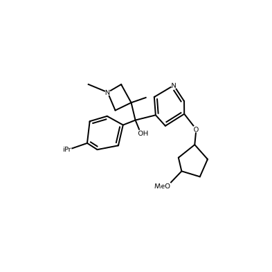 COC1CCC(Oc2cncc(C(O)(c3ccc(C(C)C)cc3)C3(C)CN(C)C3)c2)C1